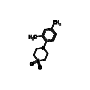 Cc1ccc(N2CCS(=O)(=O)CC2)c(C)c1